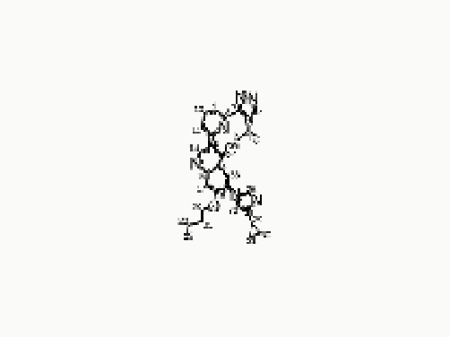 CC(C)n1cnnc1-c1cccc(-n2cnc3cc(OCCCF)c(-n4cnc(C5CC5)c4)cc3c2=O)n1